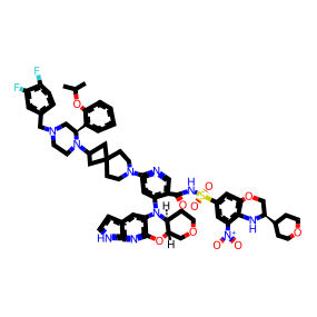 CC(C)Oc1ccccc1[C@@H]1CN(Cc2ccc(F)c(F)c2)CCN1C1CC2(CCN(c3cc(N4c5cc6cc[nH]c6nc5O[C@H]5COCC[C@@H]54)c(C(=O)NS(=O)(=O)c4cc5c(c([N+](=O)[O-])c4)N[C@H](C4CCOCC4)CO5)cn3)CC2)C1